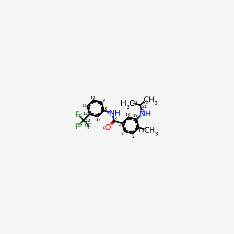 Cc1ccc(C(=O)Nc2cccc(C(F)(F)F)c2)cc1NC(C)C